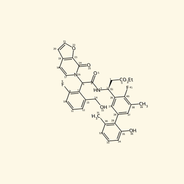 CCOC(=O)C[C@H](NC(=O)C(c1c(F)cccc1CO)n1ccc2ccoc2c1=O)c1cc(-c2c(C)cccc2O)cc(C)c1F